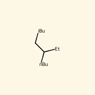 C[CH]CCC(CC)CC(C)CC